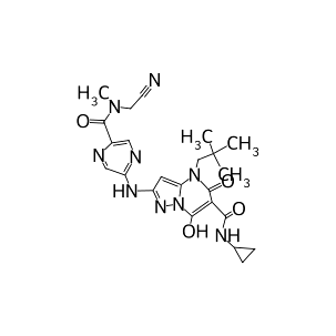 CN(CC#N)C(=O)c1cnc(Nc2cc3n(CC(C)(C)C)c(=O)c(C(=O)NC4CC4)c(O)n3n2)cn1